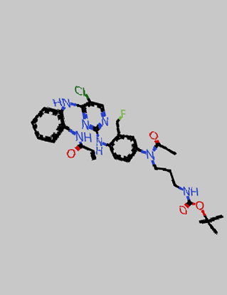 C=CC(=O)Nc1ccccc1Nc1nc(Nc2ccc(N(CCCNC(=O)OC(C)(C)C)C(C)=O)cc2CF)ncc1Cl